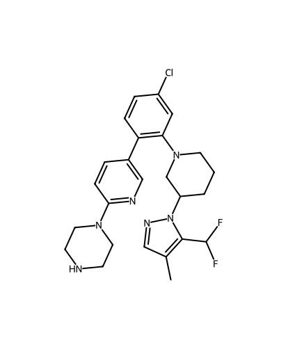 Cc1cnn(C2CCCN(c3cc(Cl)ccc3-c3ccc(N4CCNCC4)nc3)C2)c1C(F)F